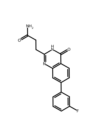 NC(=O)CCc1nc2cc(-c3cccc(F)c3)ccc2c(=O)[nH]1